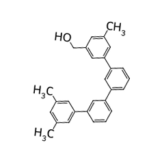 Cc1cc(C)cc(-c2cccc(-c3cccc(-c4cc(C)cc(CO)c4)c3)c2)c1